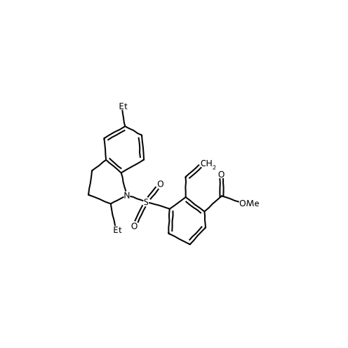 C=Cc1c(C(=O)OC)cccc1S(=O)(=O)N1c2ccc(CC)cc2CCC1CC